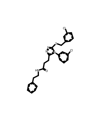 O=C(CCc1nnc(SCc2cccc(Cl)c2)n1-c1cccc(Cl)c1)NCCc1ccccc1